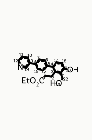 CCOC(=O)CCc1c(-c2ccc(-c3cccnc3)cc2)ccc(O)c1CO